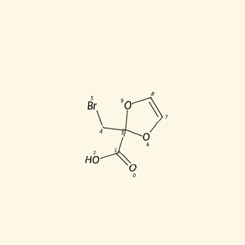 O=C(O)C1(CBr)OC=CO1